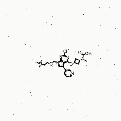 CN(C(=O)O)[C@H]1C[C@H](Oc2nc(Cl)nc3c2c(-c2cccnc2)cn3COCC[Si](C)(C)C)C1